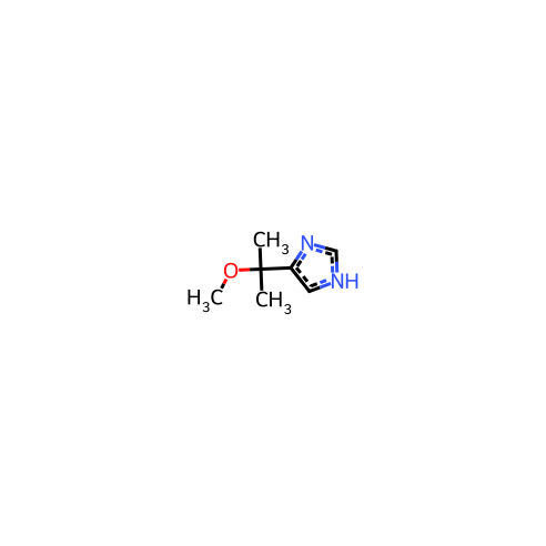 COC(C)(C)c1c[nH]cn1